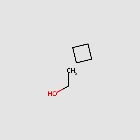 C1CCC1.CCO